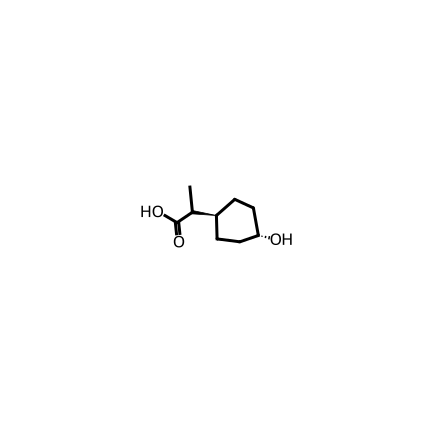 CC(C(=O)O)[C@H]1CC[C@H](O)CC1